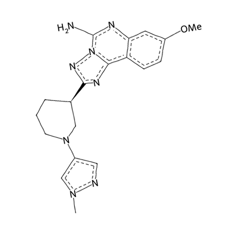 COc1ccc2c(c1)nc(N)n1nc([C@@H]3CCCN(c4cnn(C)c4)C3)nc21